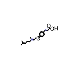 CC(C)=CCC/C(C)=C/COc1ccc(/C=C/C(=O)O)cc1